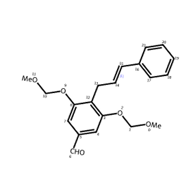 COCOc1cc(C=O)cc(OCOC)c1C/C=C/c1ccccc1